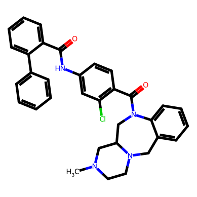 CN1CCN2Cc3ccccc3N(C(=O)c3ccc(NC(=O)c4ccccc4-c4ccccc4)cc3Cl)CC2C1